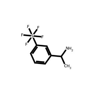 CC(N)c1cccc(S(F)(F)(F)(F)F)c1